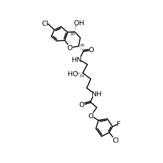 O=C(COc1ccc(Cl)c(F)c1)NCC[C@H](O)CNC(=O)[C@H]1C[C@@H](O)c2cc(Cl)ccc2O1